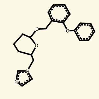 c1ccc(Oc2ccccc2COC2CCCC(Cn3ccnc3)O2)cc1